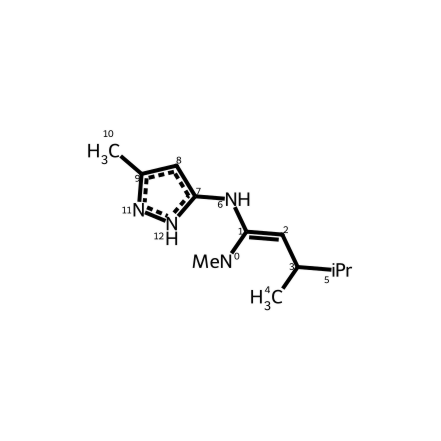 CN/C(=C\C(C)C(C)C)Nc1cc(C)n[nH]1